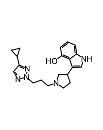 Oc1cccc2[nH]cc(C3CCN(CCCn4ncc(C5CC5)n4)C3)c12